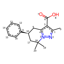 Cc1nn2c(c1C(=O)O)C[C@H](c1ccccc1)CC2(C)C